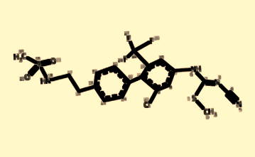 CS/C(=N\C#N)Nc1cc(Cl)c(-c2ccc(CCNS(C)(=O)=O)cc2)c(C(F)(F)F)c1